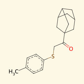 Cc1ccc(SCC(=O)C23CC4CC(C2)C(C4)C3)cc1